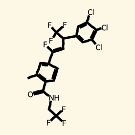 Cc1cc(C(F)=CC(c2cc(Cl)c(Cl)c(Cl)c2)C(F)(F)F)ccc1C(=O)NCC(F)(F)F